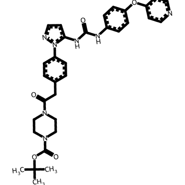 CC(C)(C)OC(=O)N1CCN(C(=O)Cc2ccc(-n3nccc3NC(=O)Nc3ccc(Oc4ccncc4)cc3)cc2)CC1